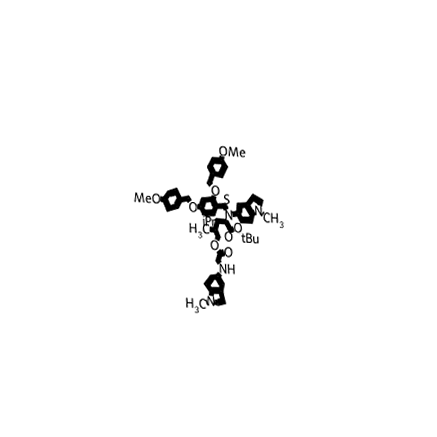 COc1ccc(COc2cc(OCc3ccc(OC)cc3)c(C(C)C)cc2C(=S)N(c2ccc3c(ccn3C)c2)C(CC(C)COC(=O)CNc2ccc3c(ccn3C)c2)C(=O)OC(C)(C)C)cc1